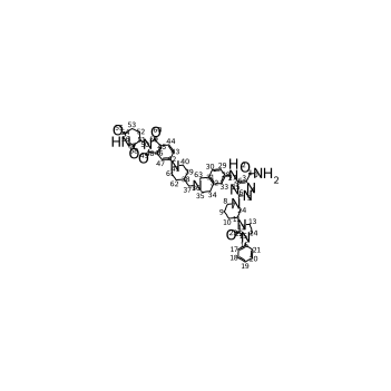 NC(=O)c1nnc(N2CCCC(N3CCN(c4ccccc4)C3=O)C2)nc1Nc1ccc2c(c1)CCN(CC1CCN(c3ccc4c(c3)C(=O)N(C3CCC(=O)NC3=O)C4=O)CC1)C2